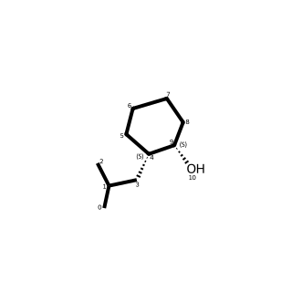 CC(C)C[C@@H]1CCCC[C@@H]1O